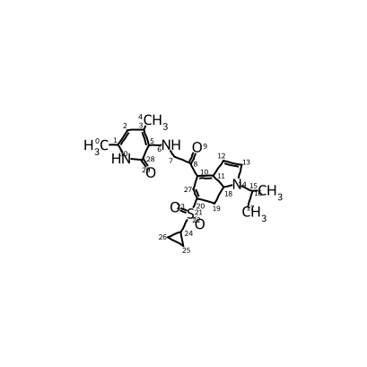 Cc1cc(C)c(NCC(=O)C2=C3C=CN(C(C)C)C3CC(S(=O)(=O)C3CC3)=C2)c(=O)[nH]1